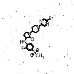 CS(=O)(=O)c1ccc(NC2CCN(C3CCN(c4cnc(Br)cn4)CC3)C2=O)c(F)c1